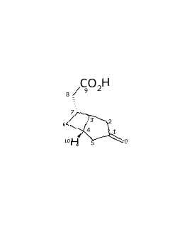 C=C1CC2[C@H](C1)C[C@@H]2CC(=O)O